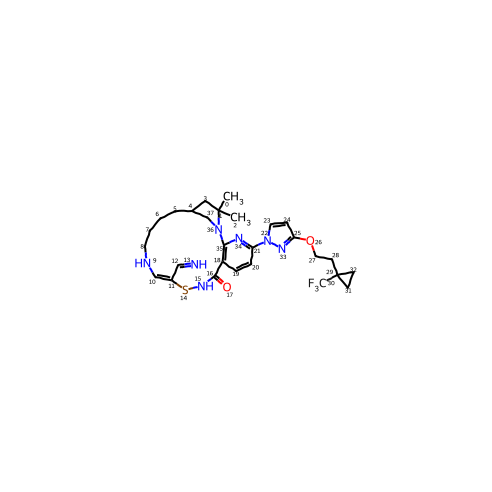 CC1(C)CC2CCCCN/C=C(\C=N)SNC(=O)c3ccc(-n4ccc(OCCC5(C(F)(F)F)CC5)n4)nc3N1C2